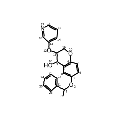 CC(Oc1ccc2c(c1)C(O)C(Oc1cccnc1)CO2)c1ccccc1